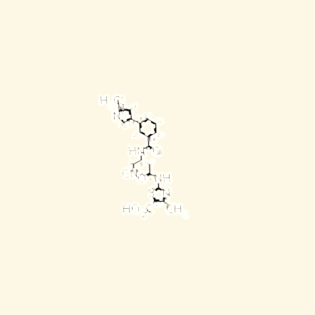 Cc1nc(NC(=O)C[C@@H](CC#N)NC(=O)c2cccc(-c3cnn(C)c3)c2)sc1C(=O)O